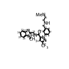 CNCCNCc1cccc(-n2nc(C(F)(F)F)cc2C(=O)NCc2nc3ccccc3n2C)c1